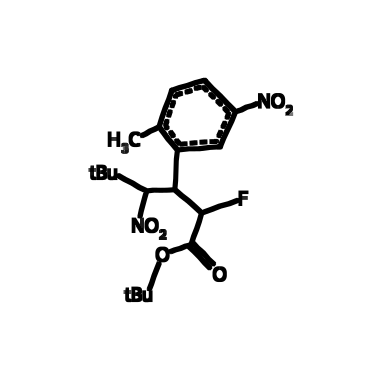 Cc1ccc([N+](=O)[O-])cc1C(C(F)C(=O)OC(C)(C)C)C([N+](=O)[O-])C(C)(C)C